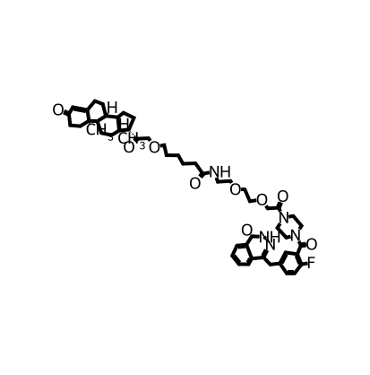 C[C@]12CCC3[C@@H](CCC4=CC(=O)CC[C@@]43C)[C@@H]1CC[C@@H]2C(=O)COCCCCCC(=O)NCCOCCOCC(=O)N1CCN(C(=O)c2cc(Cc3n[nH]c(=O)c4ccccc34)ccc2F)CC1